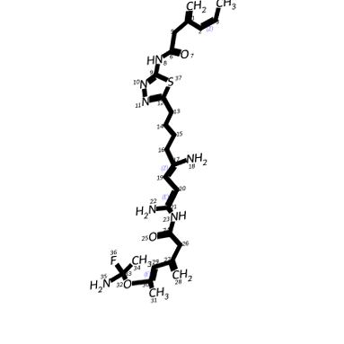 C=C(/C=C\C)CC(=O)Nc1nnc(CCCC/C(N)=C/C=C(\N)NC(=O)CC(=C)/C=C(\C)OC(C)(N)F)s1